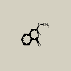 COc1cc2ccccc2c(=O)o1